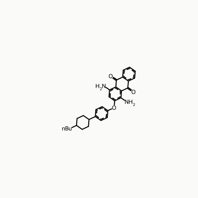 CCCCC1CCC(c2ccc(Oc3cc(N)c4c(c3N)C(=O)c3ccccc3C4=O)cc2)CC1